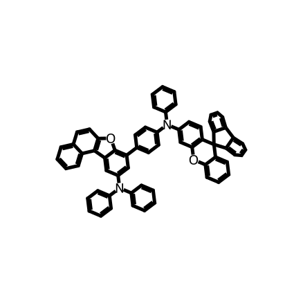 c1ccc(N(c2ccc(-c3cc(N(c4ccccc4)c4ccccc4)cc4c3oc3ccc5ccccc5c34)cc2)c2ccc3c(c2)Oc2ccccc2C32c3ccccc3-c3ccccc32)cc1